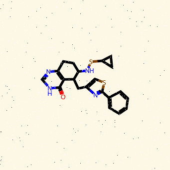 O=c1[nH]cnc2c1C(Cc1csc(-c3ccccc3)n1)C(NSC1CC1)CC2